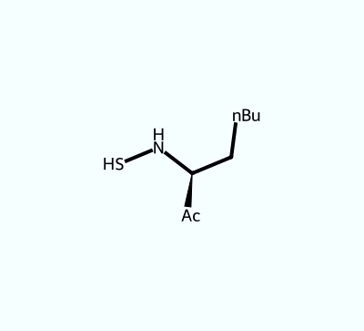 CCCCC[C@H](NS)C(C)=O